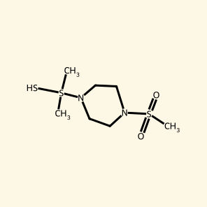 CS(C)(S)N1CCN(S(C)(=O)=O)CC1